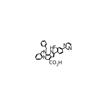 O=C(O)c1cnc(N(Cc2ccccc2)Cc2ccccc2)c2[nH]c(-c3ccc(-c4cnccn4)cc3F)cc12